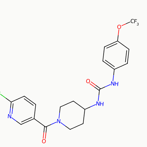 O=C(Nc1ccc(OC(F)(F)F)cc1)NC1CCN(C(=O)c2ccc(Cl)nc2)CC1